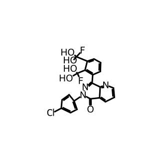 O=c1c2cccnc2c(-c2cccc(C(O)(O)F)c2C(O)(O)F)nn1-c1ccc(Cl)cc1